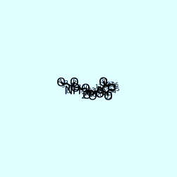 NC(CC=O)C(=O)OCCOC(=O)CC(=O)c1cc2c(o1)C(=O)c1ccccc1C2=O